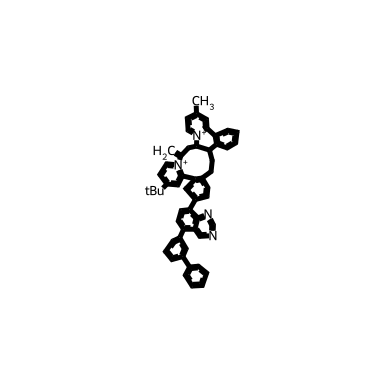 C=C1CC2C(CCc3ccc(-c4ccc(-c5cccc(-c6ccccc6)c5)c5cncnc45)cc3-c3cc(C(C)(C)C)cc[n+]31)c1ccccc1-c1cc(C)cc[n+]12